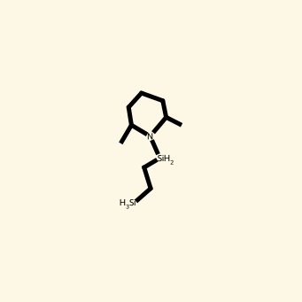 CC1CCCC(C)N1[SiH2]CC[SiH3]